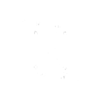 C=CC(=O)Oc1cc(/C=C/c2cc(OC(=O)C=C)cc(OC(=O)C=C)c2)cc(OC(=O)C=C)c1